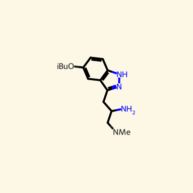 CNCC(N)Cc1n[nH]c2ccc(OCC(C)C)cc12